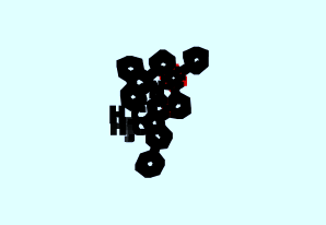 CC1(C)c2cc(-c3ccccc3)ccc2-c2ccc(N(c3ccccc3-c3ccccc3)c3c(-c4cccc5c(-c6ccccc6)cccc45)c4ccccc4c4ccccc34)cc21